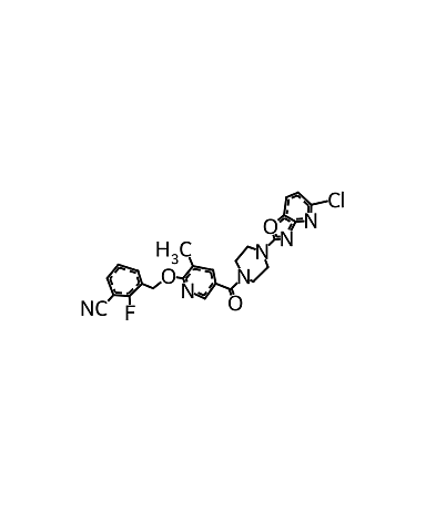 Cc1cc(C(=O)N2CCN(c3nc4nc(Cl)ccc4o3)CC2)cnc1OCc1cccc(C#N)c1F